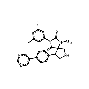 CN1C(=O)N(c2cc(Cl)cc(Cl)c2)C(=O)C12CNCC2c1ccc(-c2cncnc2)cc1